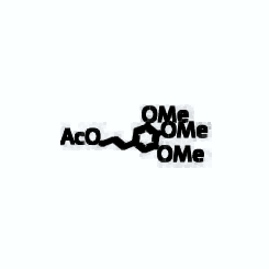 COc1cc(C=CCOC(C)=O)cc(OC)c1OC